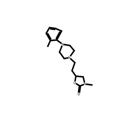 Cc1ccccc1N1CCN(CCC2CN(C)C(=O)O2)CC1